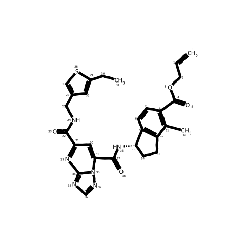 C=CCOC(=O)c1ccc2c(c1C)CC[C@@H]2NC(=O)c1cc(C(=O)NCc2csc(CC)c2)nc2ncnn12